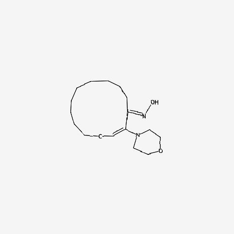 ON=C1CCCCCCCCCCC=C1N1CCOCC1